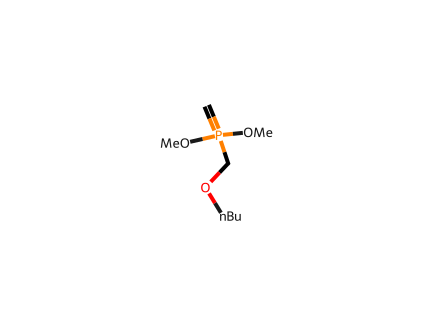 C=P(COCCCC)(OC)OC